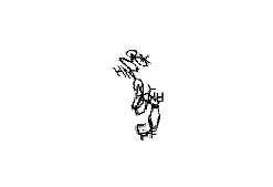 CC(C)C(NC(=O)c1cc(C(F)(F)F)ccc1F)C(=O)N1CCC(Nc2ccc(C(=O)OC(C)(C)C)cc2)CC1